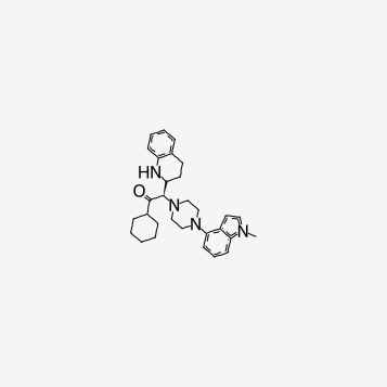 Cn1ccc2c(N3CCN([C@@H](C(=O)C4CCCCC4)C4CCc5ccccc5N4)CC3)cccc21